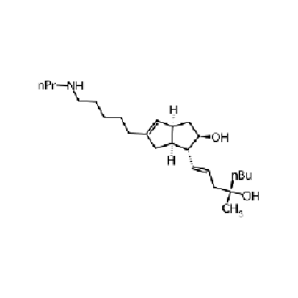 CCCC[C@](C)(O)C/C=C/[C@@H]1[C@H]2CC(CCCCCNCCC)=C[C@H]2C[C@H]1O